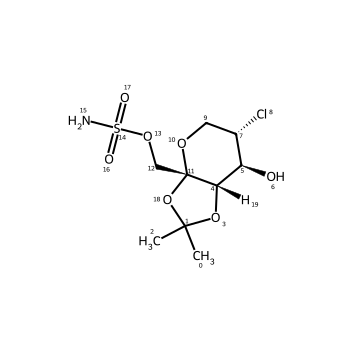 CC1(C)O[C@H]2[C@H](O)[C@@H](Cl)CO[C@@]2(COS(N)(=O)=O)O1